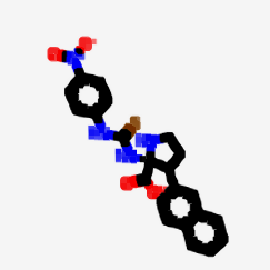 O=C(O)[C@@]1(NC(=S)Nc2ccc([N+](=O)[O-])cc2)NCCC1c1ccc2ccccc2c1